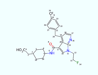 O=C(O)CC1CCC(NC(=O)c2cn(CCF)c3nccc(Cc4ccc(C(F)(F)F)cc4)c23)CC1